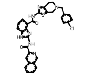 O=C(Nc1nc2c(C(=O)Nc3nc4c(s3)CN(Cc3ccc(Cl)cc3)CC4)cccc2[nH]1)c1cc2ccccc2cn1